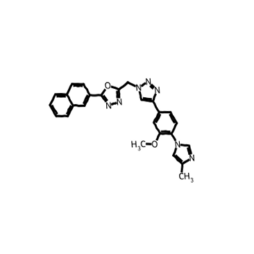 COc1cc(-c2cn(Cc3nnc(-c4ccc5ccccc5c4)o3)nn2)ccc1-n1cnc(C)c1